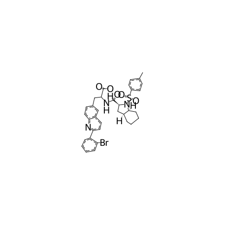 Cc1ccc(S(=O)(=O)N2[C@H](C(=O)NC(Cc3ccc4nc(-c5ccccc5Br)ccc4c3)C(=O)O)C[C@@H]3CCCC[C@@H]32)cc1